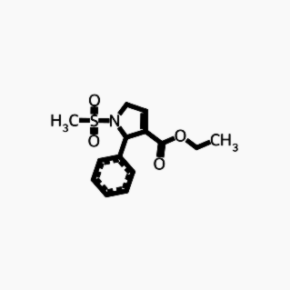 CCOC(=O)C1=CCN(S(C)(=O)=O)C1c1ccccc1